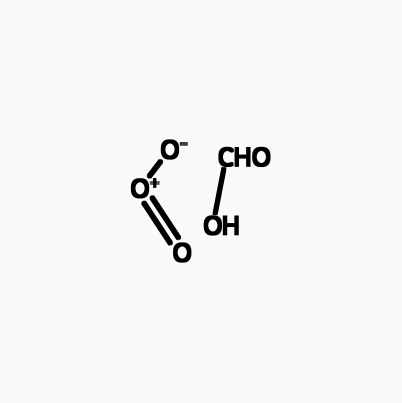 O=CO.O=[O+][O-]